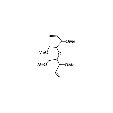 C=CC(OC)C(COC)OC(COC)C(C=C)OC